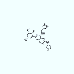 COc1cc(OC)c(F)c(-c2cc3cnc(NC4CCOC4)nc3c(NCc3cnn(C)c3)n2)c1F